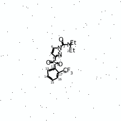 CCN(CC)C(=O)n1ccc(S(=O)(=O)c2ccccc2C(F)(F)F)n1